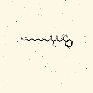 CCCCCCCCNC(=S)NCC(C)c1ccccc1